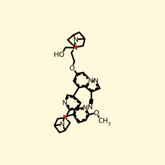 COc1ccc(CN2C3CC2CN(c2ccc(-c4cc(OCCN5CC6CC(C5)N6CCO)cn5ncc(C#N)c45)cn2)C3)cn1